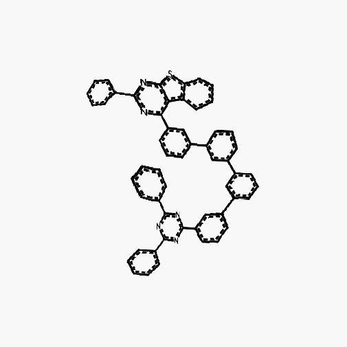 c1ccc(-c2nc(-c3ccccc3)nc(-c3cccc(-c4cccc(-c5cccc(-c6cccc(-c7nc(-c8ccccc8)nc8sc9ccccc9c78)c6)c5)c4)c3)n2)cc1